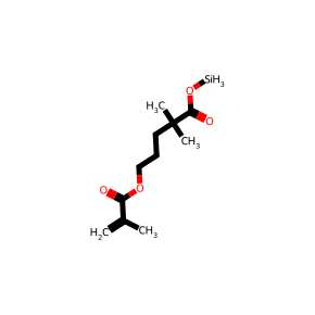 C=C(C)C(=O)OCCCC(C)(C)C(=O)O[SiH3]